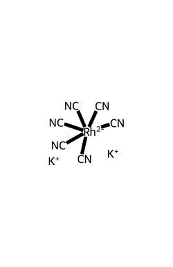 N#[C][Rh-2]([C]#N)([C]#N)([C]#N)([C]#N)[C]#N.[K+].[K+]